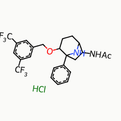 CC(=O)NC1CC2(c3ccccc3)NC1CCC2OCc1cc(C(F)(F)F)cc(C(F)(F)F)c1.Cl